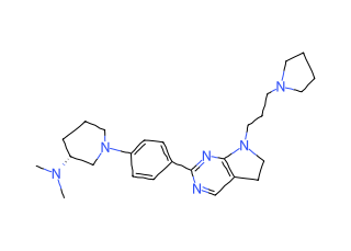 CN(C)[C@@H]1CCCN(c2ccc(-c3ncc4c(n3)N(CCCN3CCCC3)CC4)cc2)C1